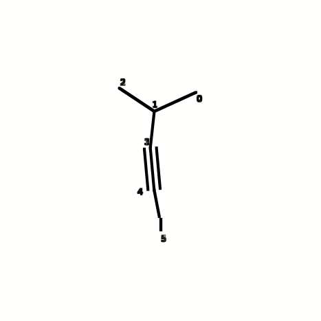 CC(C)C#CI